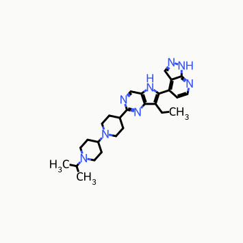 CCc1c(-c2ccnc3[nH]ncc23)[nH]c2cnc(C3CCN(C4CCN(C(C)C)CC4)CC3)nc12